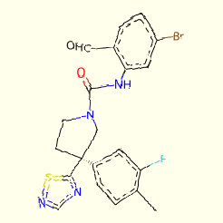 Cc1ccc([C@]2(c3ncns3)CCN(C(=O)Nc3cc(Br)ccc3C=O)C2)cc1F